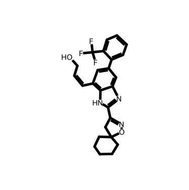 OC/C=C\c1cc(-c2ccccc2C(F)(F)F)cc2nc(C3=NOC4(CCCCC4)C3)[nH]c12